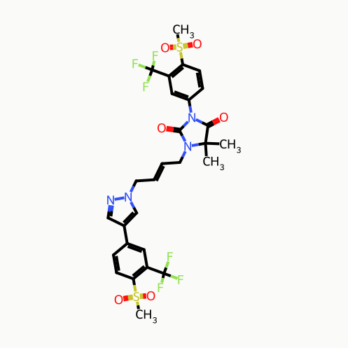 CC1(C)C(=O)N(c2ccc(S(C)(=O)=O)c(C(F)(F)F)c2)C(=O)N1CC=CCn1cc(-c2ccc(S(C)(=O)=O)c(C(F)(F)F)c2)cn1